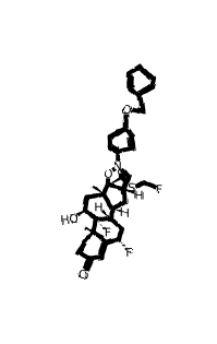 C[C@]12C=CC(=O)C=C1[C@@H](F)C[C@H]1[C@@H]3C[C@H]4CN(c5ccc(OCc6ccccc6)cc5)O[C@@]4(C(=O)SCF)[C@@]3(C)C[C@H](O)[C@@]12F